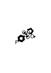 COC1CCCN1S(=O)(=O)c1ccc(F)cc1